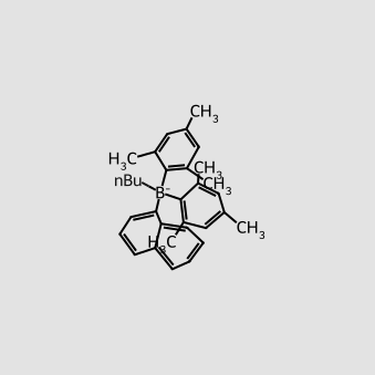 CCCC[B-](c1c(C)cc(C)cc1C)(c1c(C)cc(C)cc1C)c1cccc2ccccc12